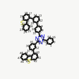 c1ccc(-c2nc(-c3ccc(-c4cccc(-c5cccc6sc7ccccc7c56)c4)cc3)nc(-c3cccc(-c4cccc5sc6ccccc6c45)c3)n2)cc1